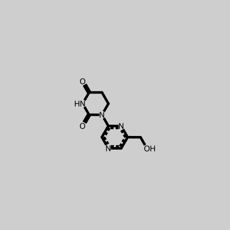 O=C1CCN(c2cncc(CO)n2)C(=O)N1